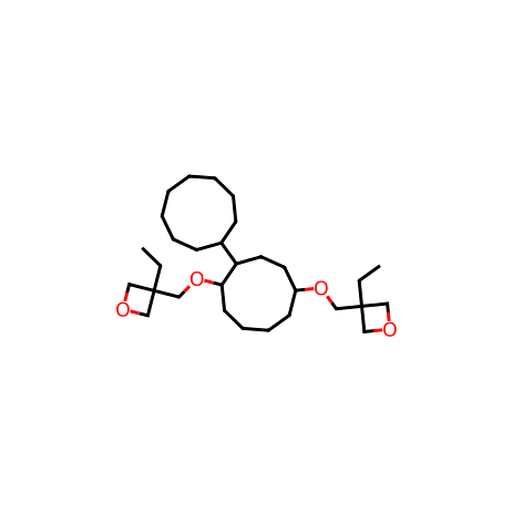 CCC1(COC2CCCCC(OCC3(CC)COC3)C(C3CCCCCCCC3)CC2)COC1